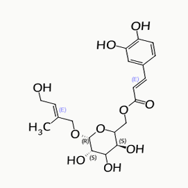 C/C(=C\CO)CO[C@@H]1OC(COC(=O)/C=C/c2ccc(O)c(O)c2)[C@@H](O)C(O)[C@@H]1O